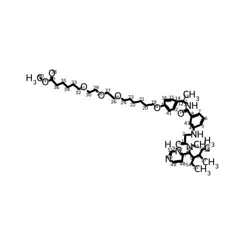 C=C(CNc1cccc(C(=O)N[C@@H](C)c2ccc(OCCCCCCOCCOCCOCCCCCC(=O)OC)cc2)c1)N(C)C(c1ccncn1)C(CC)C(C)CC